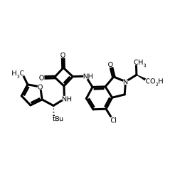 Cc1ccc([C@H](Nc2c(Nc3ccc(Cl)c4c3C(=O)N([C@@H](C)C(=O)O)C4)c(=O)c2=O)C(C)(C)C)o1